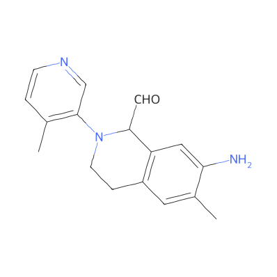 Cc1cc2c(cc1N)C(C=O)N(c1cnccc1C)CC2